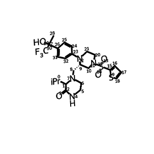 CC(C)C1C(=O)NCCN1C[C@H]1CN(S(=O)(=O)c2cccs2)CCN1c1ccc(C(C)(O)C(F)(F)F)cc1